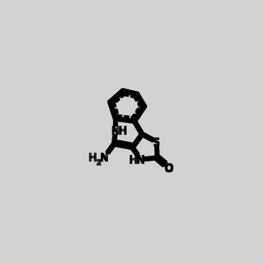 NC1=C2NC(=O)SC2c2ccccc2N1